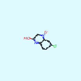 [O-][n+]1cc(O)nc2ccc(Cl)cc21